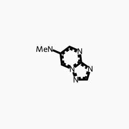 CNc1cnc2ncnn2c1